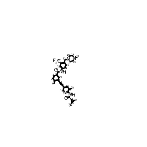 Cc1ccc(C(=O)Nc2ccc(CN3CCN(C)CC3)c(C(F)(F)F)c2)cc1C#Cc1cnc(NC(=O)[C@H]2C[C@@H]2F)c(C)c1